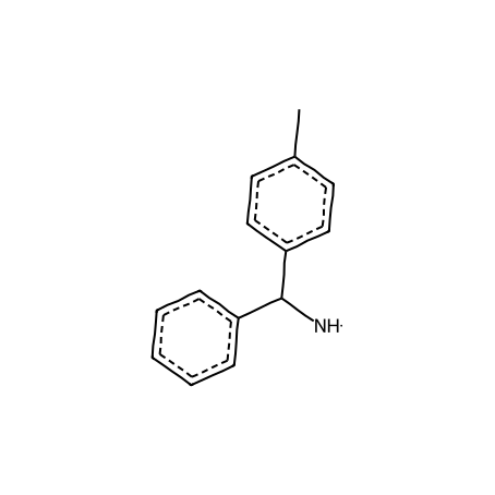 Cc1ccc(C([NH])c2ccccc2)cc1